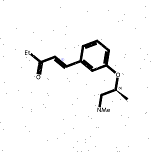 CCC(=O)/C=C/c1cccc(O[C@@H](C)CNC)c1